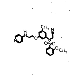 COc1ccccc1S(=O)(=O)N(CC#N)c1cc(C)cc(OCCNc2ccncc2)c1